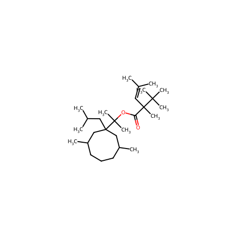 CC(C)=CC(C)(C(=O)OC(C)(C)C1(CC(C)C)CC(C)CCCC(C)C1)C(C)(C)C